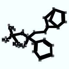 C[Si](C)(C)O[Si](C)(CCC1CC2C=CC1C2)c1ccccc1